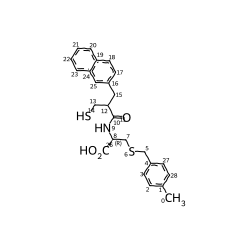 Cc1ccc(CSC[C@H](NC(=O)C(CS)Cc2ccc3ccccc3c2)C(=O)O)cc1